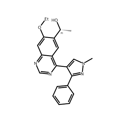 CCOc1cc2ncnc(-c3cn(C)nc3-c3ccccc3)c2cc1[C@@H](C)O